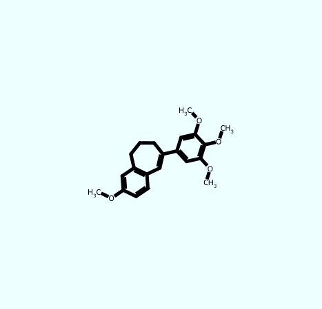 COc1c[c]c2c(c1)CCCC(c1cc(OC)c(OC)c(OC)c1)=C2